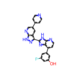 Oc1cc(F)cc(-c2ccnc3[nH]c(-c4n[nH]c5ncc(-c6ccncc6)cc45)nc23)c1